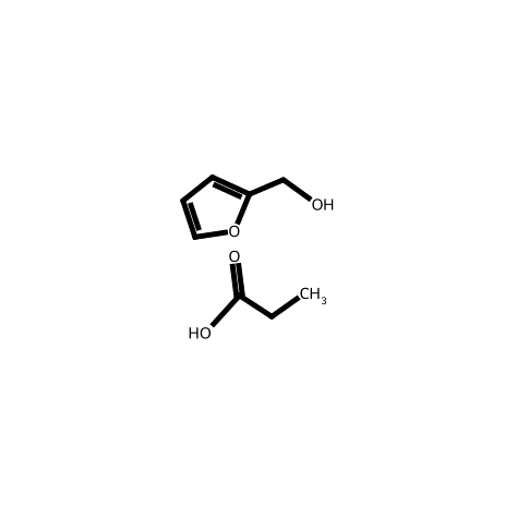 CCC(=O)O.OCc1ccco1